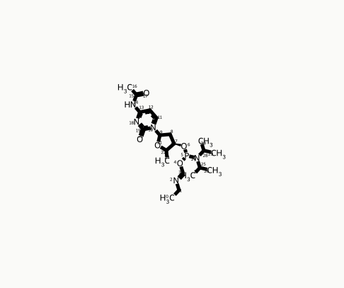 CC/N=C/OP(O[C@@H]1CC(n2ccc(NC(C)=O)nc2=O)OC1C)N(C(C)C)C(C)C